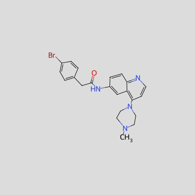 CN1CCN(c2ccnc3ccc(NC(=O)Cc4ccc(Br)cc4)cc23)CC1